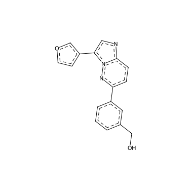 OCc1cccc(-c2ccc3ncc(-c4ccoc4)n3n2)c1